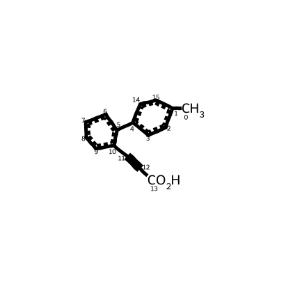 Cc1ccc(-c2ccccc2C#CC(=O)O)cc1